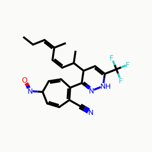 CC/C=C(C)\C=C/C(C)C1C=C(C(F)(F)F)NN=C1C1=C(C#N)C=CC(N=O)C=C1